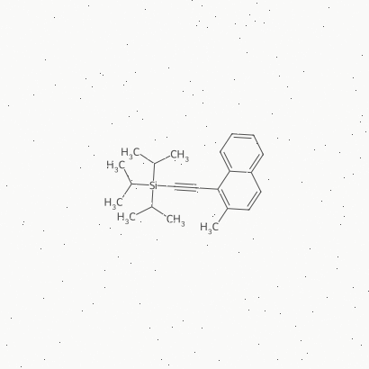 Cc1ccc2ccccc2c1C#C[Si](C(C)C)(C(C)C)C(C)C